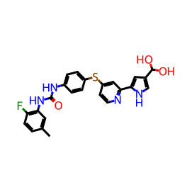 Cc1ccc(F)c(NC(=O)Nc2ccc(Sc3ccnc(-c4cc(C(O)O)c[nH]4)c3)cc2)c1